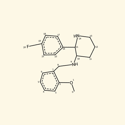 COc1ccccc1CNC1CCCNC1c1ccc(F)cc1